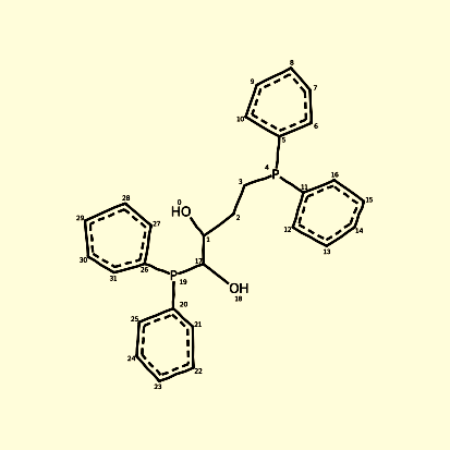 OC(CCP(c1ccccc1)c1ccccc1)C(O)P(c1ccccc1)c1ccccc1